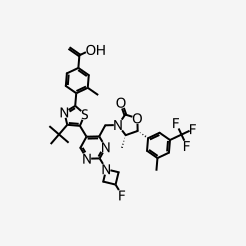 C=C(O)c1ccc(-c2nc(C(C)(C)C)c(-c3cnc(N4CC(F)C4)nc3CN3C(=O)O[C@H](c4cc(C)cc(C(F)(F)F)c4)[C@@H]3C)s2)c(C)c1